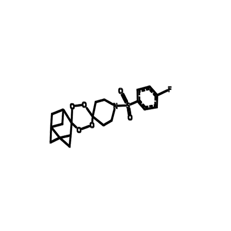 O=S(=O)(c1ccc(F)cc1)N1CCC2(CC1)OOC1(OO2)C2CC3(C2)CC32CC12